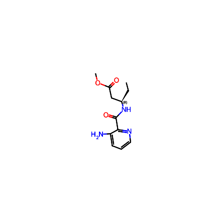 CC[C@H](CC(=O)OC)NC(=O)c1ncccc1N